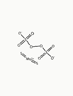 O=S(=O)([O-])OOS(=O)(=O)[O-].[S]=[Mo+2]=[S]